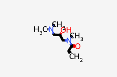 C=CC(=O)N(C)CC(O)CN(C)C